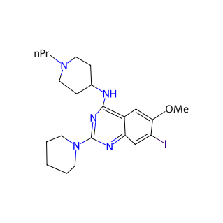 CCCN1CCC(Nc2nc(N3CCCCC3)nc3cc(I)c(OC)cc23)CC1